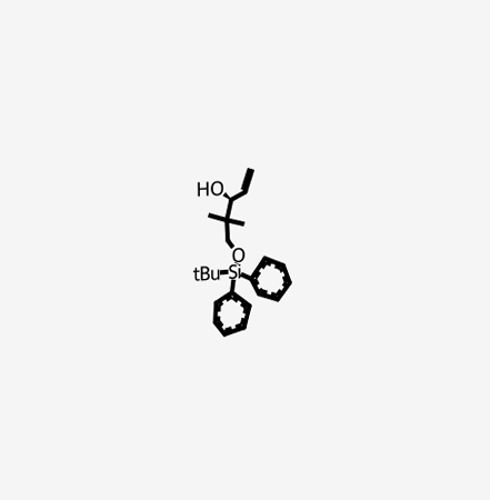 C=C[C@H](O)C(C)(C)CO[Si](c1ccccc1)(c1ccccc1)C(C)(C)C